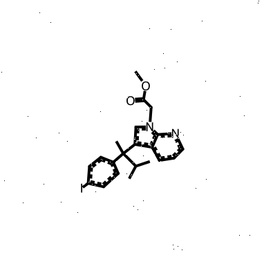 COC(=O)Cn1cc(C(C)(c2ccc(I)cc2)C(C)C)c2cccnc21